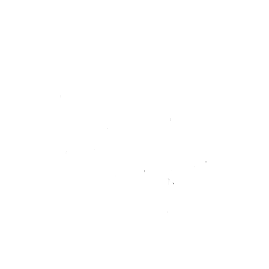 COC(=O)c1c(C)sc([N+](=O)[O-])c1C